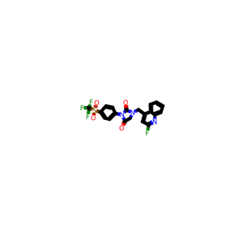 O=C1CN(Cc2cc(F)nc3ccccc23)C(=O)N1c1ccc(S(=O)(=O)C(F)(F)F)cc1